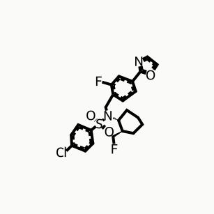 O=S(=O)(c1ccc(Cl)cc1)N(Cc1ccc(-c2ncco2)cc1F)[C@@H]1CCCC[C@H]1CF